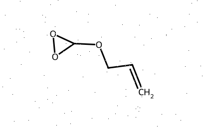 C=CCOC1OO1